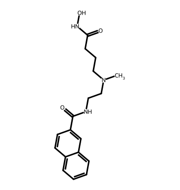 CN(CCCC(=O)NO)CCNC(=O)c1ccc2ccccc2c1